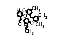 CC=Cc1ccccc1Oc1c(C)cc(C)cc1Cc1cc(C)cc(C)c1Oc1ccccc1C=CC